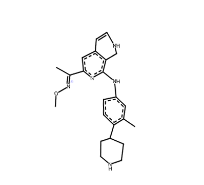 CO/N=C(\C)c1cc2c(c(Nc3ccc(C4CCNCC4)c(C)c3)n1)CNC=C2